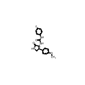 COc1ccc(C2CNC(=O)[C@@H]2NC(=O)Nc2ccc(F)cc2)cc1